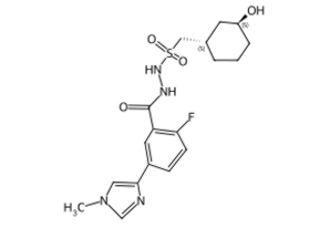 Cn1cnc(-c2ccc(F)c(C(=O)NNS(=O)(=O)C[C@H]3CCC[C@H](O)C3)c2)c1